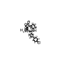 C[C@H]1N[C@@H](c2cn(-c3ccc(Cl)cc3)cn2)Nc2nccc(n2)N2C(=O)OC[C@H]12